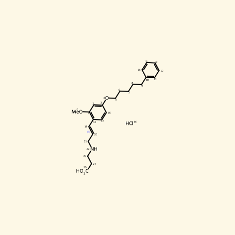 COc1cc(OCCCCCc2ccccc2)ccc1/C=C/CNCCC(=O)O.Cl